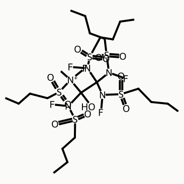 CCCCS(=O)(=O)N(F)C(N(F)S(=O)(=O)CCCC)(N(F)S(=O)(=O)CCCC)C(O)(N(F)S(=O)(=O)CCCC)[N+](C)(F)S(=O)(=O)CCCC